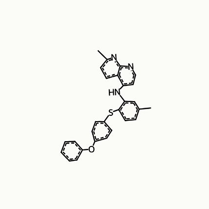 Cc1ccc(Sc2ccc(Oc3ccccc3)cc2)c(Nc2ccnc3nc(C)ccc23)c1